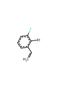 C=Cc1cccc(F)c1CC